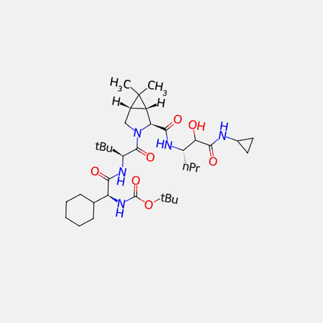 CCC[C@H](NC(=O)[C@@H]1[C@@H]2[C@H](CN1C(=O)[C@@H](NC(=O)[C@@H](NC(=O)OC(C)(C)C)C1CCCCC1)C(C)(C)C)C2(C)C)C(O)C(=O)NC1CC1